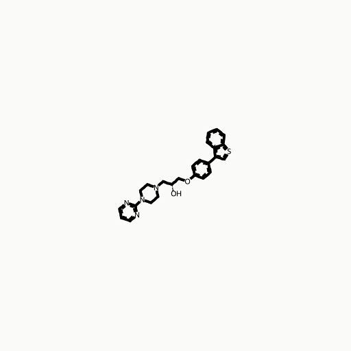 O[C@@H](COc1ccc(-c2csc3ccccc23)cc1)CN1CCN(c2ncccn2)CC1